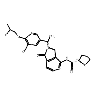 CC(c1cnc(OCC(F)F)c(Cl)c1)N1Cc2c(ccnc2NC(=O)[C@@H]2CCCO2)C1=O